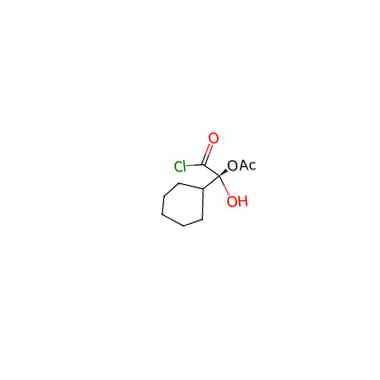 CC(=O)O[C@](O)(C(=O)Cl)C1CCCCC1